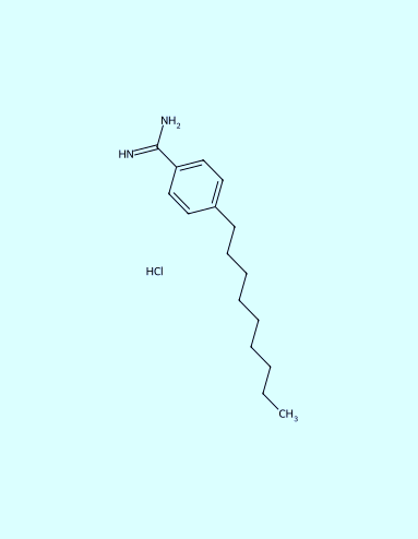 CCCCCCCCCc1ccc(C(=N)N)cc1.Cl